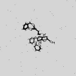 OC1C[C@@H]2[C@@H](/C=C/CC3OCc4ccccc4O3)[C@H](OC3OCCC[C@H]3OC3CCCCO3)C[C@@H]2O1